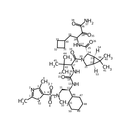 Cc1nc(C)c(S(=O)(=O)N(C)C[C@@H](NC(=O)N[C@H](C(=O)N2C[C@H]3[C@@H]([C@H]2C(=O)NC(CC2CCC2)C(=O)C(N)=O)C3(C)C)C(C)(C)C)C2CCCCC2)s1